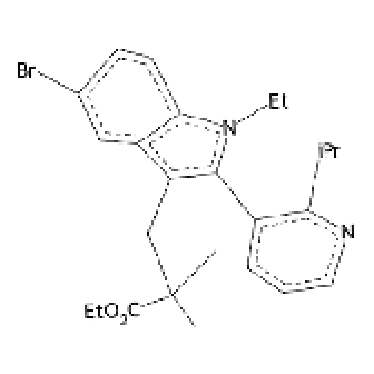 CCOC(=O)C(C)(C)Cc1c(-c2cccnc2C(C)C)n(CC)c2ccc(Br)cc12